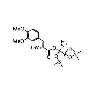 COc1ccc(C=CC(=O)OC([SiH3])(O[Si](C)(C)C)C(C)(O[Si](C)(C)C)C(C)C)c(OC)c1OC